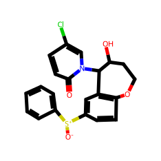 O=c1ccc(Cl)cn1C1c2cc([S+]([O-])c3ccccc3)ccc2OCCC1O